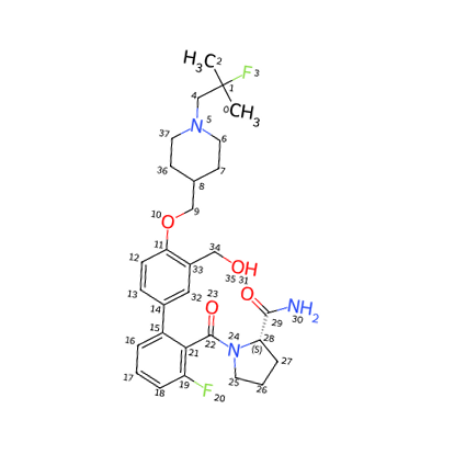 CC(C)(F)CN1CCC(COc2ccc(-c3cccc(F)c3C(=O)N3CCC[C@H]3C(N)=O)cc2CO)CC1